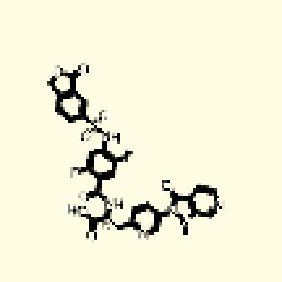 Cn1c2cnccc2c(=O)n1-c1ccc(C[C@H](NC(=O)c2cc(F)c(NS(=O)(=O)c3ccc4c(c3)C(=O)OC4)cc2F)C(=O)O)nc1